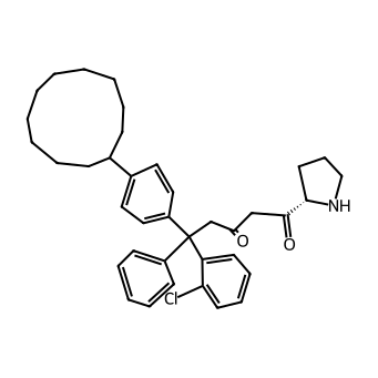 O=C(CC(=O)[C@@H]1CCCN1)CC(c1ccccc1)(c1ccc(C2CCCCCCCCCC2)cc1)c1ccccc1Cl